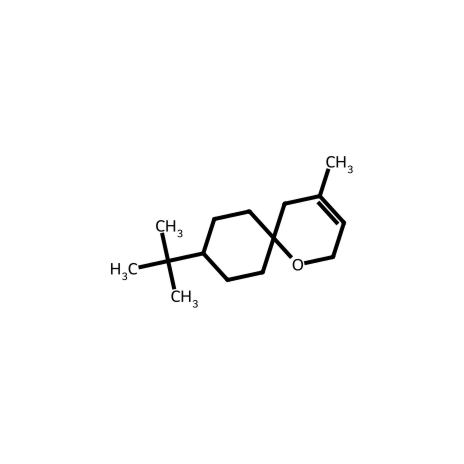 CC1=CCOC2(CCC(C(C)(C)C)CC2)C1